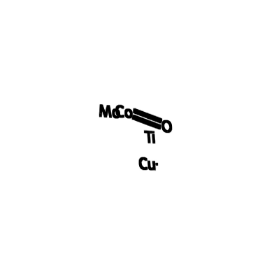 [Cu].[Mo].[O]=[Co].[Ti]